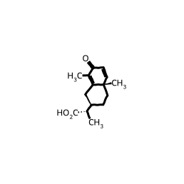 CC1=C2C[C@H]([C@H](C)C(=O)O)CC[C@@]2(C)C=CC1=O